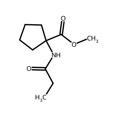 CCC(=O)NC1(C(=O)OC)CCCC1